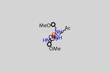 COc1cccc(CCNC(=O)[C@H](CCCCCC(C)=O)NC(=O)Cc2c(C)[nH]c3ccc(OC)cc23)c1